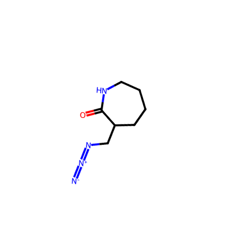 [N-]=[N+]=NCC1CCCCNC1=O